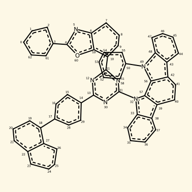 c1ccc(-c2nc3cccc(-c4nc(-c5ccc(-c6cccc7ccccc67)cc5)nc(-n5c6ccccc6c6ccc7c8ccccc8n(-c8ccccc8)c7c65)n4)c3o2)cc1